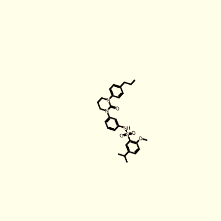 CCCc1ccc(N2CCCN(c3cccc(NS(=O)(=O)c4cc(C(C)C)ccc4OC)c3)C2=O)cc1